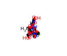 CCOC(=O)C1=C(CN2CC[C@]3(F)C(=O)N(c4ccc(C(=O)O)cc4)C[C@@H]3C2)NC(c2ncc(COC(=O)C3=C(CN4CC[C@]5(F)C(=O)N(c6cccc(C(=O)O)c6)C[C@@H]5C4)NC(c4nccs4)=N[C@H]3c3cccc(F)c3C)s2)=N[C@H]1c1cccc(F)c1C